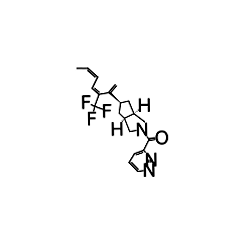 C=C(/C(=C\C=C/C)C(F)(F)F)[C@@H]1C[C@@H]2CN(C(=O)c3cccnn3)C[C@@H]2C1